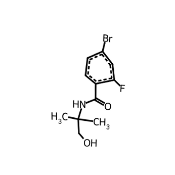 CC(C)(CO)NC(=O)c1ccc(Br)cc1F